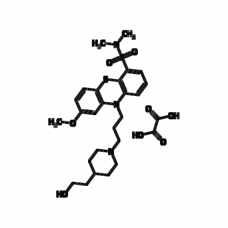 COc1ccc2c(c1)N(CCCN1CCC(CCO)CC1)c1cccc(S(=O)(=O)N(C)C)c1S2.O=C(O)C(=O)O